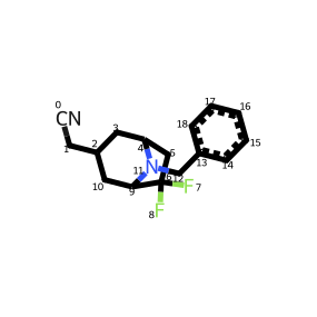 N#CCC1CC2CC(F)(F)C(C1)N2Cc1ccccc1